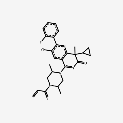 C=CC(=O)N1CC(C)N(C2=NC(=O)C(C)(C3CC3)c3nc(-c4ccccc4F)c(Cl)cc32)CC1C